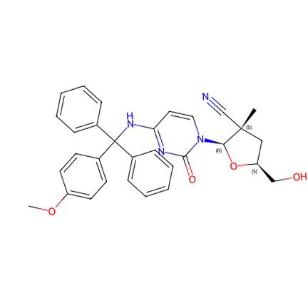 COc1ccc(C(Nc2ccn([C@@H]3O[C@H](CO)C[C@@]3(C)C#N)c(=O)n2)(c2ccccc2)c2ccccc2)cc1